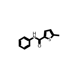 Cc1ccc(C(=O)Nc2ccccc2)s1